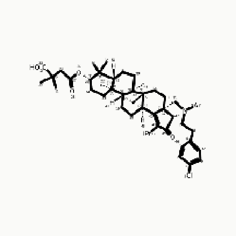 CC(=O)N(CCc1ccc(Cl)cc1)C[C@@]12CC[C@]3(C)[C@H](CC[C@@H]4[C@@]5(C)CC[C@H](OC(=O)CC(C)(C)C(=O)O)C(C)(C)[C@@H]5CC[C@]43C)C1=C(C(C)C)C(=O)C2